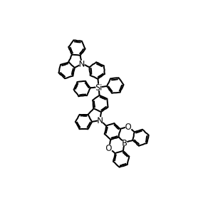 c1ccc([Si](c2ccccc2)(c2cccc(-n3c4ccccc4c4ccccc43)c2)c2ccc3c(c2)c2ccccc2n3-c2cc3c4c(c2)Oc2ccccc2B4c2ccccc2O3)cc1